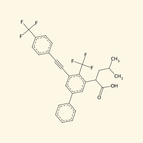 CC(C)CC(C(=O)O)c1cc(-c2ccccc2)cc(C#Cc2ccc(C(F)(F)F)cc2)c1C(F)(F)F